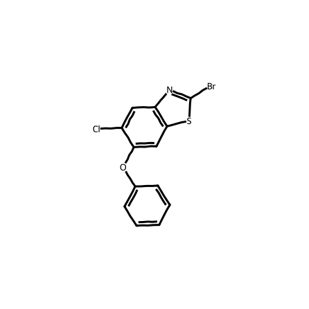 Clc1cc2nc(Br)sc2cc1Oc1ccccc1